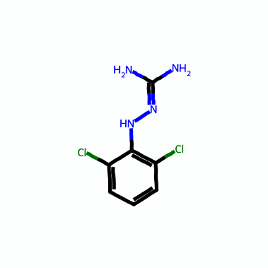 NC(N)=NNc1c(Cl)cccc1Cl